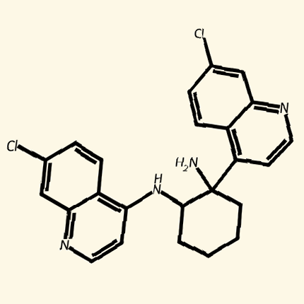 NC1(c2ccnc3cc(Cl)ccc23)CCCCC1Nc1ccnc2cc(Cl)ccc12